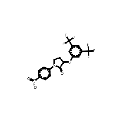 O=C1C(Oc2cc(C(F)(F)F)cc(C(F)(F)F)c2)CCN1c1ccc([SH](=O)=O)cc1